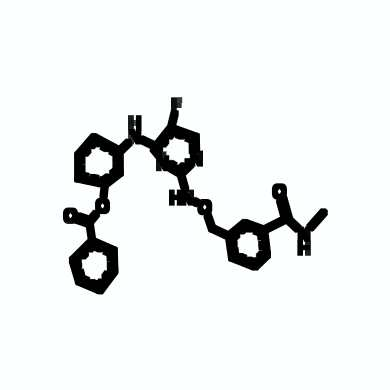 CNC(=O)c1cccc(CONc2ncc(F)c(Nc3cccc(OC(=O)c4ccccc4)c3)n2)c1